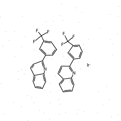 FC(F)(F)c1cccc(-c2ccc3ccccc3n2)c1.FC(F)(F)c1cccc(-c2ccc3ccccc3n2)c1.[Ir]